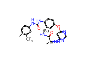 Cc1ccc(NC(=O)Nc2ccc(Oc3cc(N[C@@H](C)C(=O)NC(C)(C)C)ncn3)cc2)cc1C(F)(F)F